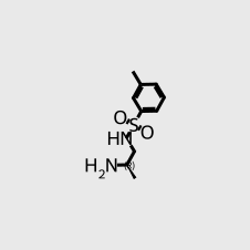 Cc1cccc(S(=O)(=O)NC[C@@H](C)N)c1